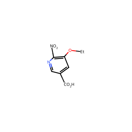 CCOc1cc(C(=O)O)cnc1[N+](=O)[O-]